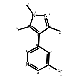 Cc1nn(C)c(C)c1-c1cncc(Br)c1